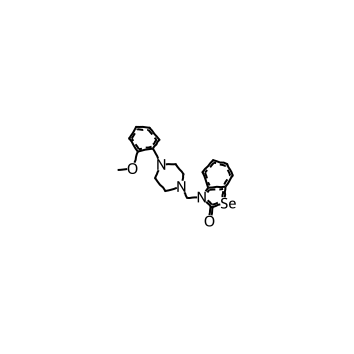 COc1ccccc1N1CCN(Cn2c(=O)[se]c3ccccc32)CC1